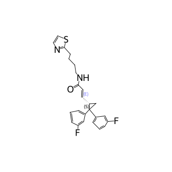 O=C(/C=C/[C@@H]1CC1(c1cccc(F)c1)c1cccc(F)c1)NCCCCc1nccs1